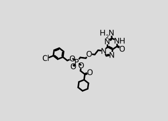 Nc1nc2c(ncn2CCOCCP(=O)(OCC(=O)C2CCCCC2)OCc2cccc(Cl)c2)c(=O)[nH]1